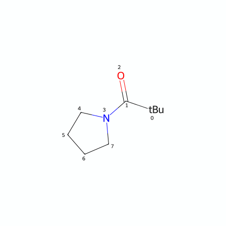 CC(C)(C)C(=O)N1CCCC1